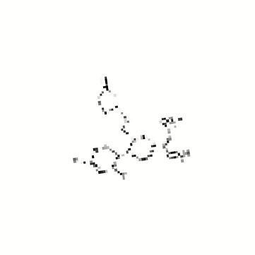 Fc1ccc(-c2ccccc2CO[C@@H]2CCNC2)c(F)c1.O=C(O)C=CC(=O)O